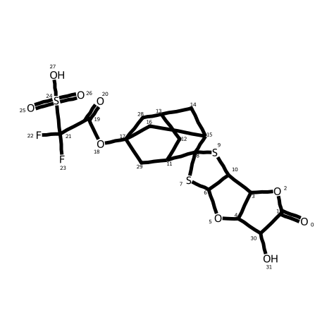 O=C1OC2C(OC3SC4(SC32)C2CC3CC4CC(OC(=O)C(F)(F)S(=O)(=O)O)(C3)C2)C1O